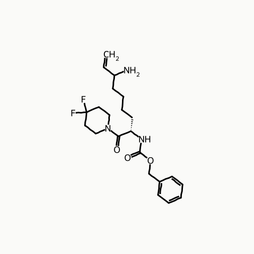 C=CC(N)CCCC[C@H](NC(=O)OCc1ccccc1)C(=O)N1CCC(F)(F)CC1